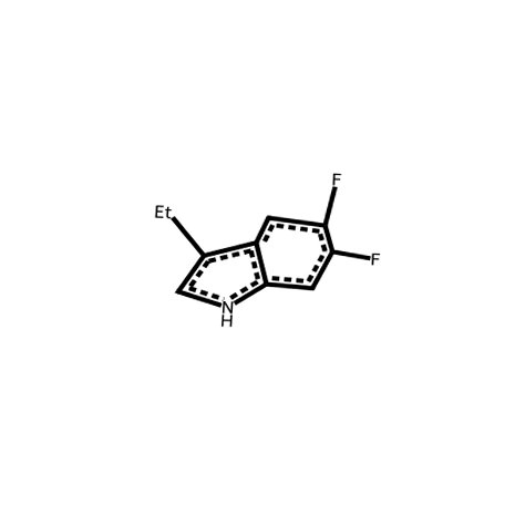 CCc1c[nH]c2cc(F)c(F)cc12